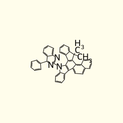 CC1(C)c2ccccc2-c2c1c1c3ccccc3ccc1c1c3ccccc3n(-c3nc(-c4ccccc4)c4ccccc4n3)c21